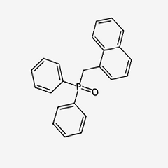 O=P(Cc1cccc2ccccc12)(c1ccccc1)c1ccccc1